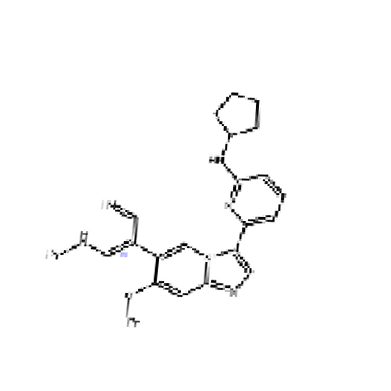 CC(C)N/C=C(\C=N)c1cn2c(-c3cccc(NC4CCCC4)n3)cnc2cc1OC(C)C